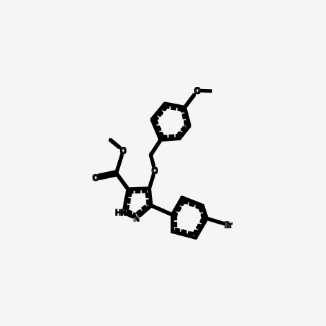 COC(=O)c1[nH]nc(-c2ccc(Br)cc2)c1OCc1ccc(OC)cc1